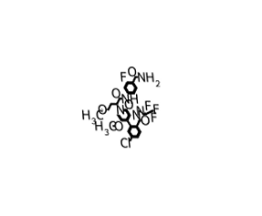 COCCC(C(=O)Nc1ccc(C(N)=O)c(F)c1)n1cc(OC)c(-c2cc(Cl)ccc2-c2nnc(C(F)(F)F)o2)cc1=O